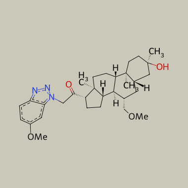 COC[C@H]1C[C@H]2C[C@](C)(O)CC[C@]2(C)[C@H]2CC[C@]3(C)[C@@H](C(=O)Cn4nnc5ccc(OC)cc54)CC[C@H]3[C@H]12